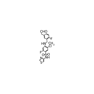 C[C@H](Nc1cc(F)c(S(=O)(=O)Nc2cscn2)cc1Cl)c1cc(CC=O)ccc1F